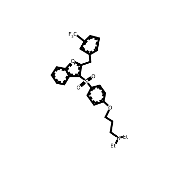 CCN(CC)CCCOc1ccc(S(=O)(=O)c2c(Cc3cccc(C(F)(F)F)c3)oc3ccccc23)cc1